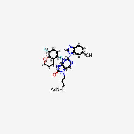 CC(=O)NCCCn1c(=O)n([C@@H]2CCOc3c(F)ccc(F)c32)c2nc(-n3cnc4ccc(C#N)cc43)ncc21